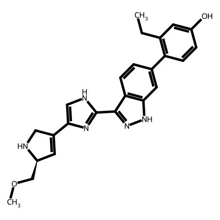 CCc1cc(O)ccc1-c1ccc2c(-c3nc(C4=C[C@@H](COC)NC4)c[nH]3)n[nH]c2c1